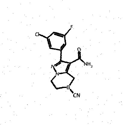 N#CB1CCn2nc(-c3cc(F)cc(Cl)c3)c(C(N)=O)c2C1